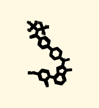 [2H]C([2H])([2H])N(C(=O)c1ccc(C2CCN([C@@H](C)c3cc4c(-n5ccc(NC)cc5=O)ccnc4n3C)CC2)cc1)C([2H])([2H])[2H]